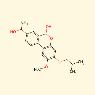 COc1cc2c(cc1OCC(C)C)OC(O)c1cc(C(C)O)ccc1-2